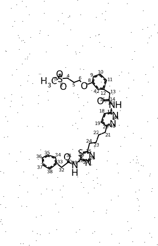 CS(=O)(=O)CCCOc1cccc(CC(=O)Nc2ccc(CCCCc3nnc(NC(=O)Cc4ccccc4)s3)nn2)c1